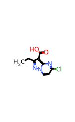 CCc1nn2ccc(Cl)nc2c1C(=O)O